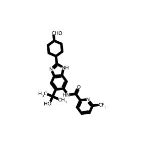 CC(C)(O)c1cc2nc(C3CCC(C=O)CC3)[nH]c2cc1NC(=O)c1cccc(C(F)(F)F)n1